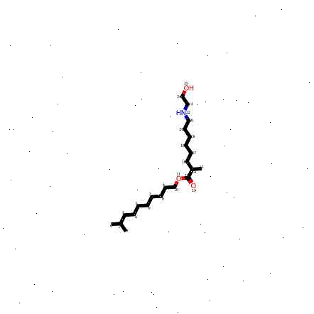 CC(C)CCCCCCCCOC(=O)C(C)CCCCCCNCCO